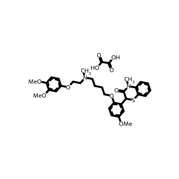 COc1ccc(OCCCCN(C)CCOc2ccc(OC)c(OC)c2)c(C2Sc3ccccc3N(C)C2=O)c1.O=C(O)C(=O)O